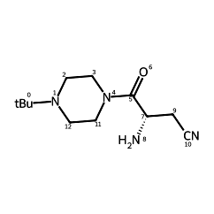 CC(C)(C)N1CCN(C(=O)[C@@H](N)CC#N)CC1